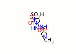 CN1CCC(S(=O)(=O)NC(=N)C2CCC3CN2C(=O)N3OS(=O)(=O)O)CC1